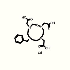 O=C(O)CN1CCN(CC(=O)O)CCN(Cc2ccccc2)CCN(CC(=O)O)CC1.[Gd]